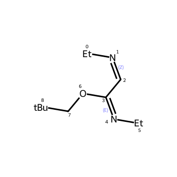 CC/N=C\C(=N/CC)OCC(C)(C)C